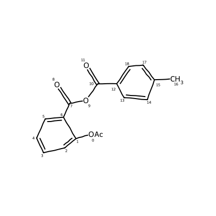 CC(=O)Oc1ccccc1C(=O)OC(=O)c1ccc(C)cc1